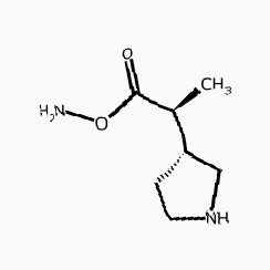 C[C@H](C(=O)ON)[C@H]1CCNC1